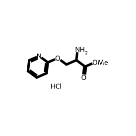 COC(=O)C(N)COc1ccccn1.Cl